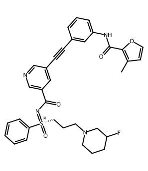 Cc1ccoc1C(=O)Nc1cccc(C#Cc2cncc(C(=O)N=[S@](=O)(CCCN3CCCC(F)C3)c3ccccc3)c2)c1